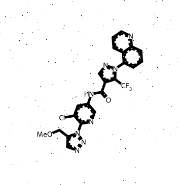 COCc1cnnn1-c1ncc(NC(=O)c2cnn(-c3cccc4ncccc34)c2C(F)(F)F)cc1Cl